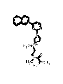 CC(C)C(=O)N(C)CCN(C)[C@@H]1CCN(c2nccc(-c3ccc4ccccc4c3)n2)C1